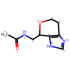 CC(=O)NCC1OCCc2nc[nH]c21